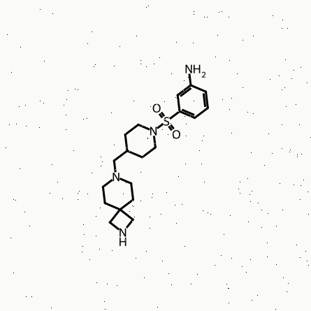 Nc1cccc(S(=O)(=O)N2CCC(CN3CCC4(CC3)CNC4)CC2)c1